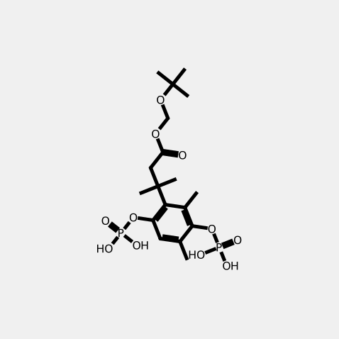 Cc1cc(OP(=O)(O)O)c(C(C)(C)CC(=O)OCOC(C)(C)C)c(C)c1OP(=O)(O)O